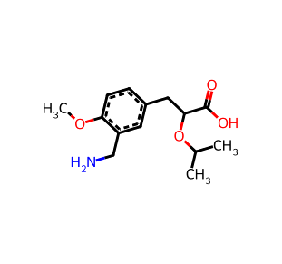 COc1ccc(CC(OC(C)C)C(=O)O)cc1CN